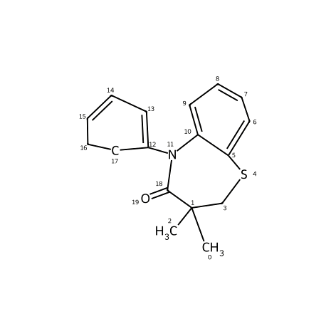 CC1(C)CSc2ccccc2N(C2=CC=CCC2)C1=O